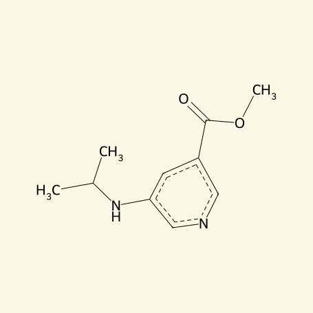 COC(=O)c1cncc(NC(C)C)c1